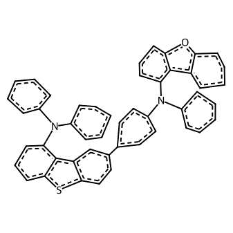 c1ccc(N(c2ccc(-c3ccc4sc5cccc(N(c6ccccc6)c6ccccc6)c5c4c3)cc2)c2cccc3oc4ccccc4c23)cc1